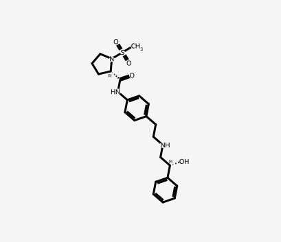 CS(=O)(=O)N1CCC[C@H]1C(=O)Nc1ccc(CCNC[C@H](O)c2ccccc2)cc1